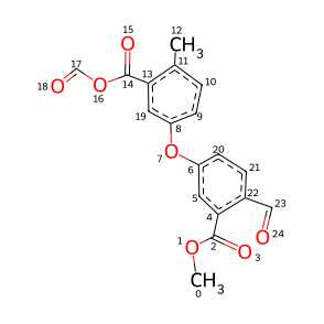 COC(=O)c1cc(Oc2ccc(C)c(C(=O)OC=O)c2)ccc1C=O